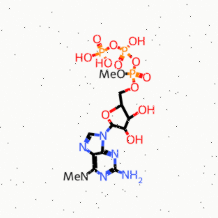 CNc1nc(N)nc2c1ncn2C1OC(COP(=O)(OC)OP(=O)(O)OP(=O)(O)O)C(O)C1O